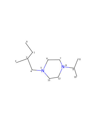 CCC(C)CN1CCN(C(C)C)CC1